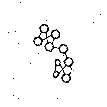 c1cc(-c2ccc3c(c2)C2(c4ccccc4O3)c3ccccc3-c3ccccc32)cc(-c2cccc3c2-c2ccccc2C32c3ccccc3-c3ccccc32)c1